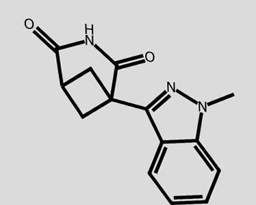 Cn1nc(C23CC(C2)C(=O)NC3=O)c2ccccc21